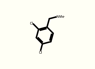 C[N]Cc1ccc(Cl)cc1Cl